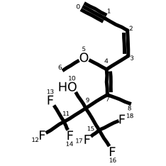 C#C/C=C\C(OC)=C(/C)C(O)(C(F)(F)F)C(F)(F)F